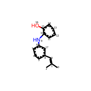 CC(C)=Cc1cccc(Nc2ccccc2O)c1